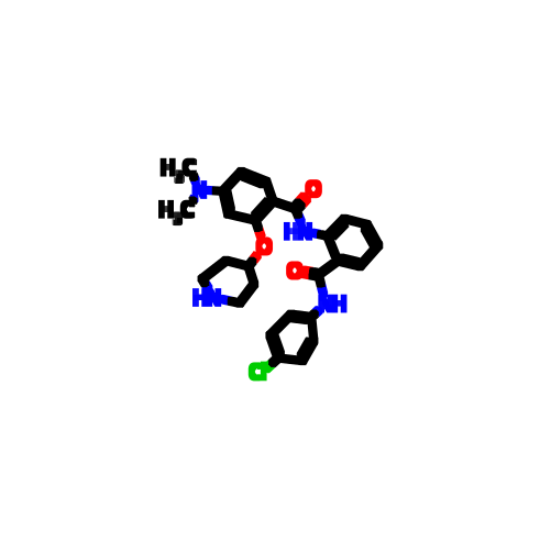 CN(C)c1ccc(C(=O)Nc2ccccc2C(=O)Nc2ccc(Cl)cc2)c(OC2CCNCC2)c1